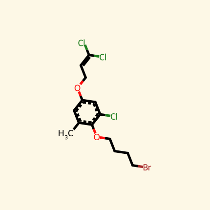 Cc1cc(OCC=C(Cl)Cl)cc(Cl)c1OCCCCBr